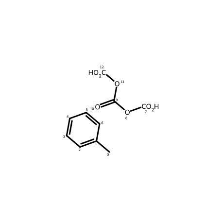 Cc1ccccc1.O=C(O)OC(=O)OC(=O)O